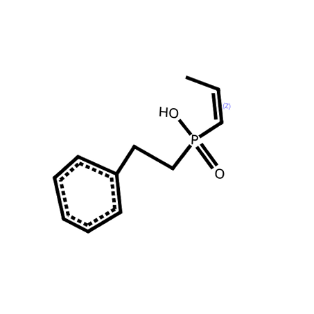 C/C=C\P(=O)(O)CCc1ccccc1